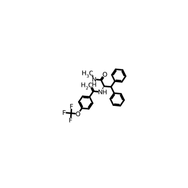 C=C(N[C@H](C(=O)NC)C(c1ccccc1)c1ccccc1)c1ccc(OC(F)(F)F)cc1